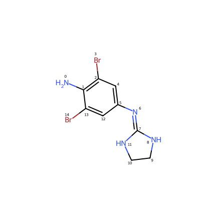 Nc1c(Br)cc(N=C2NCCN2)cc1Br